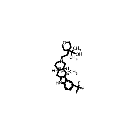 C[C@H]1c2c([nH]c3ccc(C(F)(F)F)cc23)C[C@H]2CCN(CCC3(C(C)(C)O)CCOCC3)C[C@@H]21